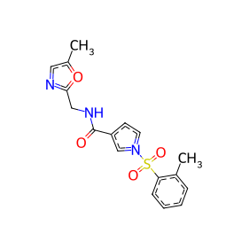 Cc1cnc(CNC(=O)c2ccn(S(=O)(=O)c3ccccc3C)c2)o1